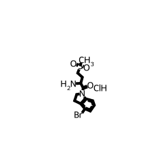 CS(=O)(=O)CCC(N)C(=O)N1CCc2c(Br)cccc21.Cl